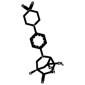 CC1(C)C[C@H]2CN(c3ccc(N4CCS(=O)(=O)CC4)cc3)C1CNC2=O